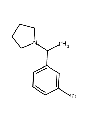 CC(C)c1cccc(C(C)N2CCCC2)c1